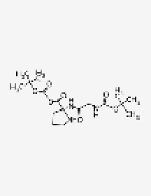 CC(C)(C)OC(=O)NCC(=O)N[C@@]1(C(=O)OC(=O)OC(C)(C)C)CCCN1